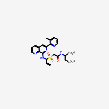 C=CC(Nc1nc(-c2ncccc2C)cc2cccnc12)S(=O)(=O)CC(=O)NC(CC(=O)O)C(=O)O